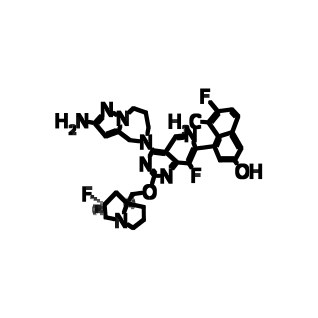 Cc1c(F)ccc2cc(O)cc(-c3ncc4c(N5CCCn6nc(N)cc6C5)nc(OC[C@@]56CCCN5C[C@H](F)C6)nc4c3F)c12